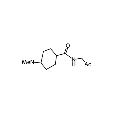 CNC1CCC(C(=O)NCC(C)=O)CC1